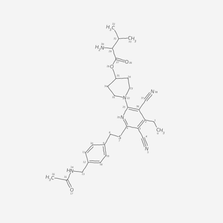 CCc1c(C#N)c(SCc2ccc(CNC(C)=O)cc2)nc(N2CCC(OC(=O)C(N)C(C)C)CC2)c1C#N